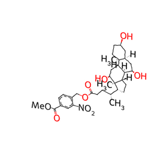 COC(=O)c1ccc(COC(=O)CC[C@@H](C)[C@H]2CC[C@H]3[C@@H]4[C@H](O)C[C@@H]5C[C@H](O)CC[C@]5(C)[C@H]4C[C@H](O)[C@]23C)c([N+](=O)[O-])c1